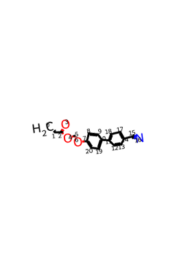 C=CC(=O)OCOc1ccc(-c2ccc(C#N)cc2)cc1